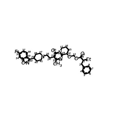 CCC(Cc1ccccc1)C(=O)OCOC1CCCn2c1nc(C)c(CCN1CCC(c3noc4cc(F)ccc34)CC1)c2=O